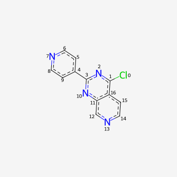 Clc1nc(-c2ccncc2)nc2cnccc12